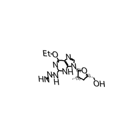 CCOC1=NC(NN=N)Nc2c1ncn2[C@@H]1O[C@H](CO)C[C@@H]1C